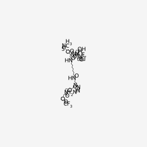 Cc1ncsc1-c1ccc(C(CC(=O)NCCCCCCCCC(=O)NCCCn2cc(-c3ccc4c(c3)CCN4C(=O)Cc3cccc(OC(F)(F)F)c3)c3c(N)ncnc32)NC(=O)[C@@H]2C[C@@H](O)CN2C(=O)C(NC(=O)C2(F)CC2)C(C)(C)C)cc1